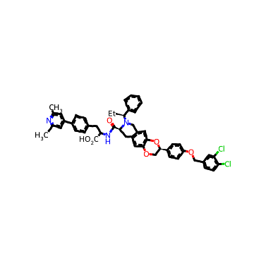 CC[C@@H](c1ccccc1)N1Cc2cc3c(cc2C[C@H]1C(=O)NC(Cc1ccc(-c2cc(C)nc(C)c2)cc1)C(=O)O)OC[C@H](c1ccc(OCc2ccc(Cl)c(Cl)c2)cc1)O3